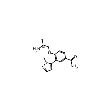 C[C@H](N)COc1ccc(C(N)=O)cc1-c1ccnn1C